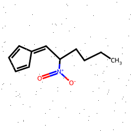 CCCCC(C=C1C=CC=C1)[N+](=O)[O-]